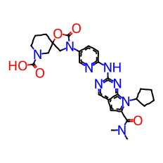 CN(C)C(=O)c1cc2cnc(Nc3ccc(N4CC5(CCCN(C(=O)O)C5)OC4=O)cn3)nc2n1C1CCCC1